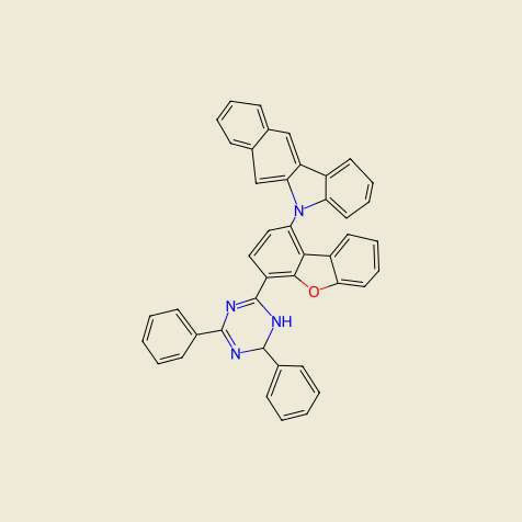 c1ccc(C2=NC(c3ccccc3)NC(c3ccc(-n4c5ccccc5c5cc6ccccc6cc54)c4c3oc3ccccc34)=N2)cc1